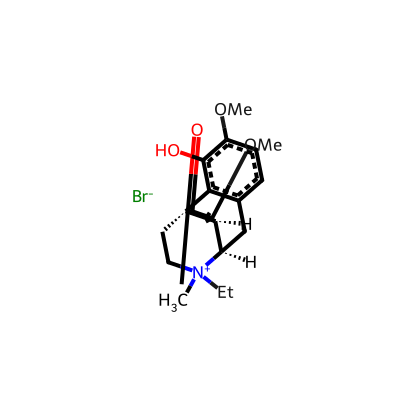 CC[N+]1(C)CC[C@]23CC(=O)C(OC)=C[C@H]2[C@H]1Cc1ccc(OC)c(O)c13.[Br-]